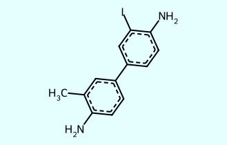 Cc1cc(-c2ccc(N)c(I)c2)ccc1N